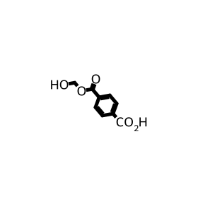 O=C(O)c1ccc(C(=O)OCO)cc1